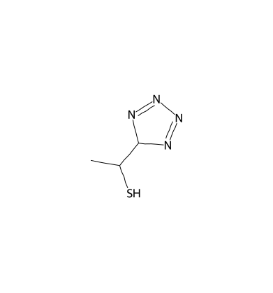 CC(S)C1N=NN=N1